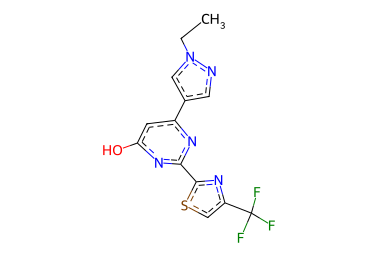 CCn1cc(-c2cc(O)nc(-c3nc(C(F)(F)F)cs3)n2)cn1